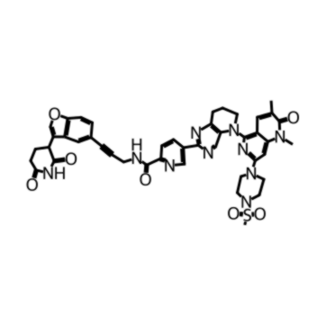 Cc1cc2c(N3CCCc4nc(-c5ccc(C(=O)NCC#Cc6ccc7occ(C8CCC(=O)NC8=O)c7c6)nc5)ncc43)nc(N3CCN(S(C)(=O)=O)CC3)cc2n(C)c1=O